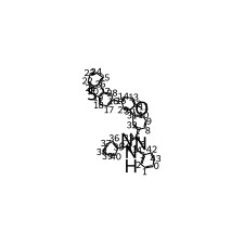 c1ccc(C2=NC(c3ccc4oc5ccc(-c6ccc7sc8ccccc8c7c6)cc5c4c3)=NC(c3ccccc3)N2)cc1